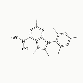 CCCN(CCC)c1cc(C)nc2c1c(C)c(C)n2-c1c(C)cc(C)cc1C